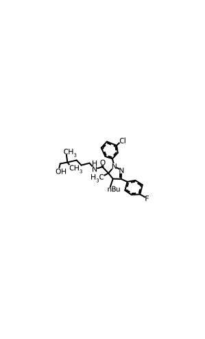 CCCCC1C(c2ccc(F)cc2)=NN(c2cccc(Cl)c2)C1(C)C(=O)NCCCC(C)(C)CO